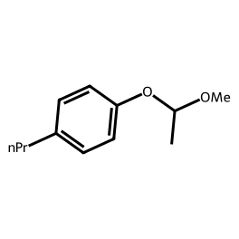 CCCc1ccc(OC(C)OC)cc1